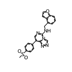 CS(=O)(=O)c1ccc(-c2cnc(NCc3cccc4occc34)n3cnnc23)cc1